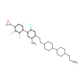 CCCC1CCC(C2CCC(CCc3cc(F)c(-c4ccc(C5CO5)c(F)c4F)cc3C)CC2)CC1